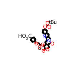 CC[C@@]1(OC(=O)COc2ccc(C(=O)O)cc2)C(=O)OCc2c1cc1n(c2=O)Cc2cc3cc(OC(=O)OC(C)(C)C)ccc3nc2-1